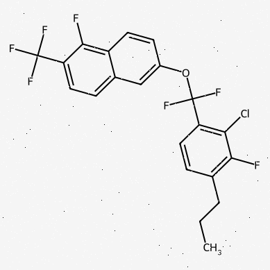 CCCc1ccc(C(F)(F)Oc2ccc3c(F)c(C(F)(F)F)ccc3c2)c(Cl)c1F